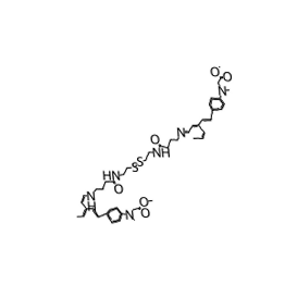 C\C=C/C(/C=C/c1ccc(N(C)CC(=O)OC)cc1)=C\C=N\CCCC(=O)NCCSSCCNC(=O)CCCN\C=C/C(=C\C)/C=C/c1ccc(N(C)CC(=O)OC)cc1